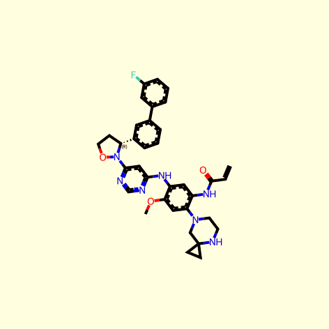 C=CC(=O)Nc1cc(Nc2cc(N3OCC[C@@H]3c3cccc(-c4cccc(F)c4)c3)ncn2)c(OC)cc1N1CCNC2(CC2)C1